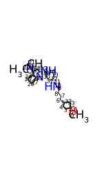 COc1ccc(CCCCNC[C@H]2CC[C@@H](Nc3cc(N(C)C)c4ccccc4n3)CC2)cc1